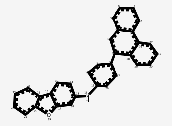 c1ccc2c(c1)cc(-c1ccc(Nc3ccc4c(c3)oc3ccccc34)cc1)c1ccccc12